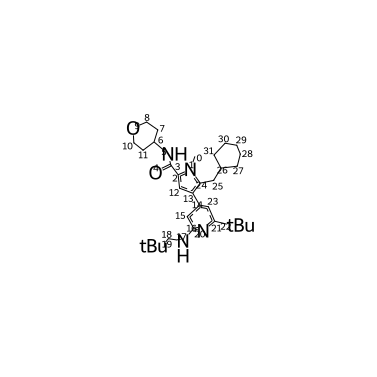 Cn1c(C(=O)NC2CCOCC2)cc(-c2cc(NCC(C)(C)C)nc(C(C)(C)C)c2)c1CC1CCCCC1